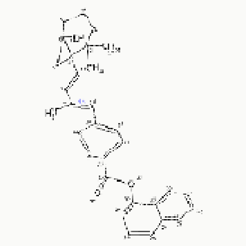 C/C(C=CC12CC1(C)CCCC2(C)C)=C\c1ccc(C(=O)Oc2cccc3ccccc23)cc1